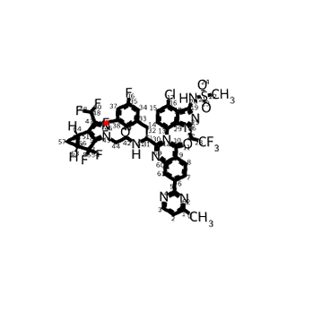 Cc1ccnc(-c2ccc3c(=O)n(-c4ccc(Cl)c5c(NS(C)(=O)=O)nn(CC(F)(F)F)c45)c([C@H](Cc4cc(F)cc(F)c4)NC(=O)Cn4nc(C(F)F)c5c4C(F)(F)[C@@H]4C[C@H]54)nc3c2)n1